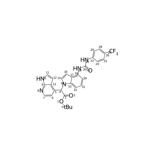 CC(C)(C)OC(=O)C(c1ccnc2[nH]ccc12)n1ccc2c(NC(=O)Nc3ccc(C(F)(F)F)cc3)cccc21